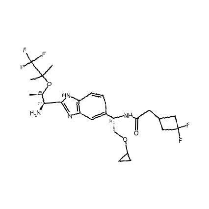 C[C@@H](OC(C)(C)C(F)(F)F)[C@H](N)c1nc2cc([C@@H](COC3CC3)NC(=O)CC3CC(F)(F)C3)ccc2[nH]1